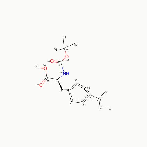 C/C=C(\C)c1ccc(C[C@H](NC(=O)OC(C)(C)C)C(=O)OC)cc1